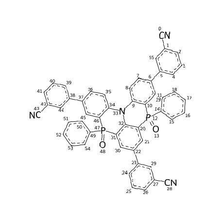 N#Cc1cccc(-c2ccc3c(c2)P(=O)(c2ccccc2)c2cc(-c4cccc(C#N)c4)cc4c2N3c2ccc(-c3cccc(C#N)c3)cc2P4(=O)c2ccccc2)c1